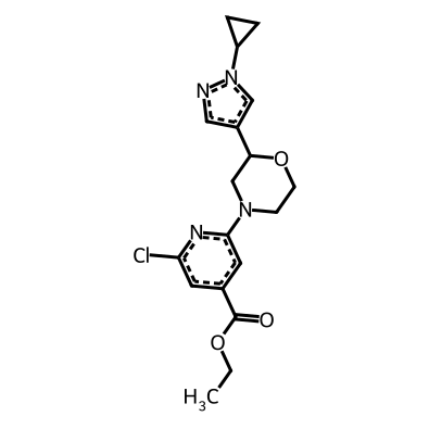 CCOC(=O)c1cc(Cl)nc(N2CCOC(c3cnn(C4CC4)c3)C2)c1